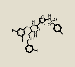 Cc1ccc(S(=O)(=O)Nc2nc(C(=O)N[C@@H](Cc3cc(F)cc(F)c3)[C@@H](O)CNCc3cccc(I)c3)co2)cc1